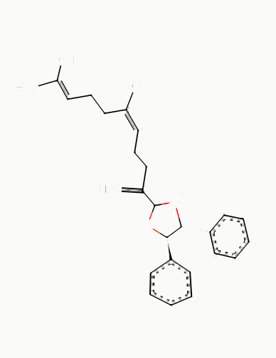 C=C(CCC=C(C)CCC=C(C)C)C1O[C@H](c2ccccc2)[C@@H](c2ccccc2)O1